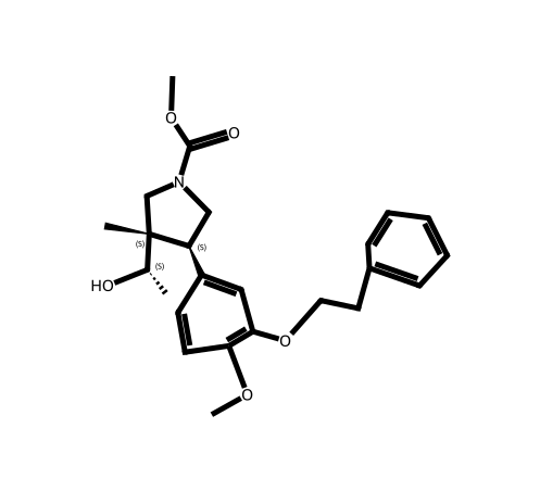 COC(=O)N1C[C@@H](c2ccc(OC)c(OCCc3ccccc3)c2)[C@](C)([C@H](C)O)C1